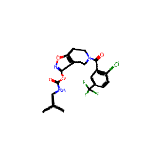 CC(C)CNC(=O)Oc1noc2c1CN(C(=O)c1cc(C(F)(F)F)ccc1Cl)CC2